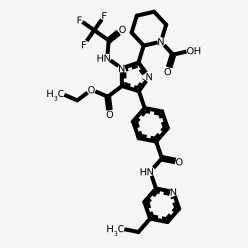 CCOC(=O)c1c(-c2ccc(C(=O)Nc3cc(CC)ccn3)cc2)nc(C2CCCCN2C(=O)O)n1NC(=O)C(F)(F)F